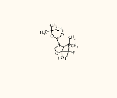 CC(C)[C@@H]1N(C(=O)OC(C)(C)C)CO[C@]1(O)C(F)(F)F